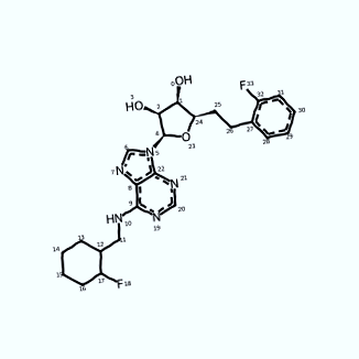 O[C@@H]1[C@H](O)[C@H](n2cnc3c(NCC4CCCCC4F)ncnc32)O[C@@H]1CCc1ccccc1F